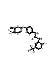 O=C(Nc1ccc(ON2C=Cc3sncc3C2)cc1)Nc1cc(C(F)(F)F)ccc1F